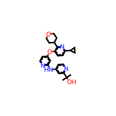 CC(C)(O)c1cc(Nc2cc(Oc3ccc(C4CC4)nc3C3CCOCC3)ccn2)ccn1